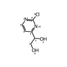 OCC(O)c1ccnc(Cl)n1